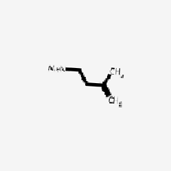 C=C(C)CCNC